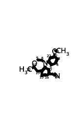 COc1cccc(N2CCOC(C)Cc3ccc(C#N)cc32)c1